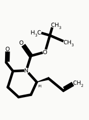 C=CC[C@H]1CCCC(C=O)N1C(=O)OC(C)(C)C